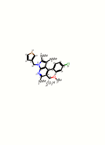 CNc1nc2c(c(NC)c(NC)n2Cc2ccsc2)c(-c2ccc(Cl)cc2)c1[C@H](OC(C)(C)C)C(=O)O